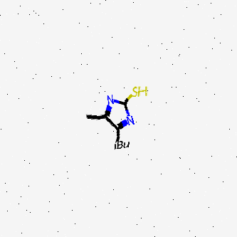 CCC(C)C1=NC(S)N=C1C